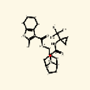 Cc1oc2c(c1C(=O)NCC1CC3CCC(C1)N3CC(=O)NC1(C(F)(F)F)CC1)CCCC2